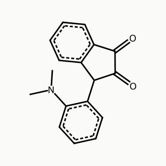 CN(C)c1ccccc1C1C(=O)C(=O)c2ccccc21